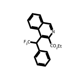 CCOC(=O)c1ncc2ccccc2c1C(c1ccccc1)C(F)(F)F